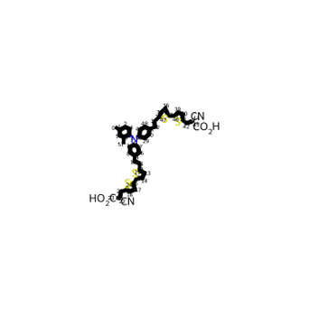 Cc1ccc(N(c2ccc(/C=C/c3ccc(-c4ccc(/C=C(\C#N)C(=O)O)s4)s3)cc2)c2ccc(/C=C/c3ccc(-c4ccc(/C=C(\C#N)C(=O)O)s4)s3)cc2)c(C)c1